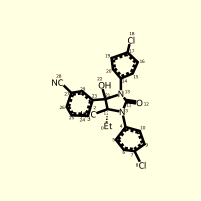 CC[C@@]1(C)N(c2ccc(Cl)cc2)C(=O)N(c2ccc(Cl)cc2)C1(O)c1cccc(C#N)c1